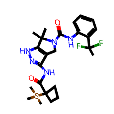 CC(F)(F)c1ccccc1NC(=O)N1Cc2c(NC(=O)C3(S(C)(C)C)CCC3)n[nH]c2C1(C)C